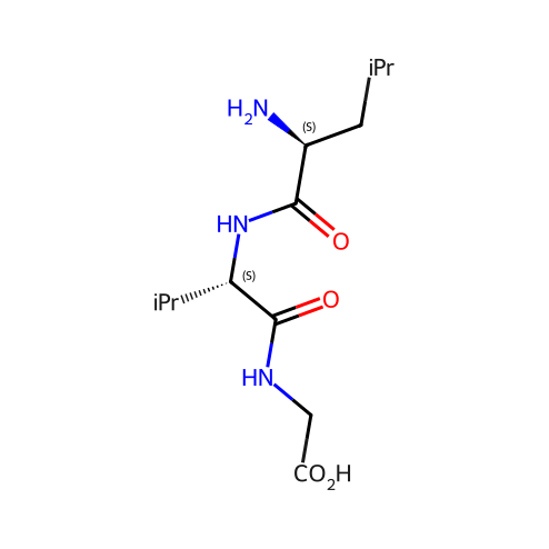 CC(C)C[C@H](N)C(=O)N[C@H](C(=O)NCC(=O)O)C(C)C